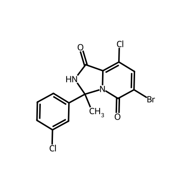 CC1(c2cccc(Cl)c2)NC(=O)c2c(Cl)cc(Br)c(=O)n21